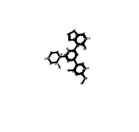 COc1cc(C)c(-c2cc(-c3c(F)ncc4c3C=CC4)nc(N3CCOC[C@H]3C)c2)cn1